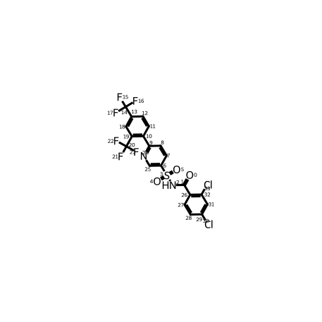 O=C(NS(=O)(=O)c1ccc(-c2ccc(C(F)(F)F)cc2C(F)(F)F)nc1)c1ccc(Cl)cc1Cl